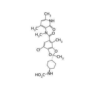 Cc1cc(C)c(N(C)C(=O)c2cc(Cl)c3c(c2C)OC(C)([C@H]2CC[C@H](NC(=O)O)CC2)O3)c(=O)[nH]1